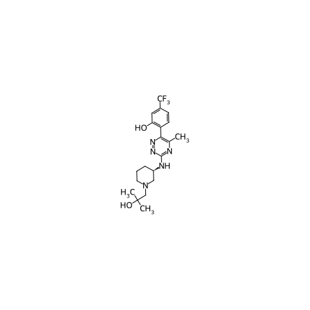 Cc1nc(N[C@@H]2CCCN(CC(C)(C)O)C2)nnc1-c1ccc(C(F)(F)F)cc1O